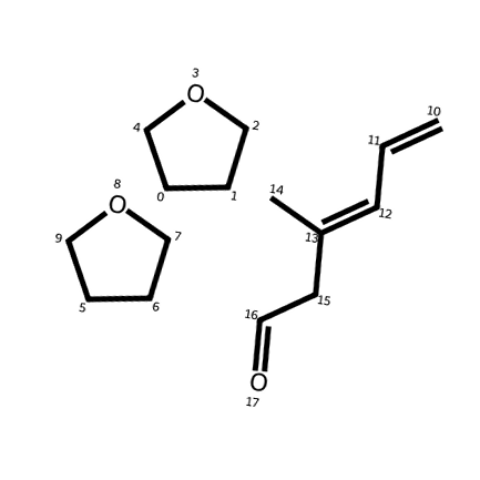 C1CCOC1.C1CCOC1.C=C/C=C(\C)CC=O